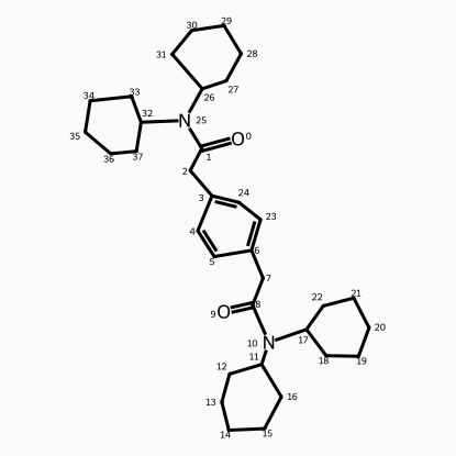 O=C(Cc1ccc(CC(=O)N(C2CCCCC2)C2CCCCC2)cc1)N(C1CCCCC1)C1CCCCC1